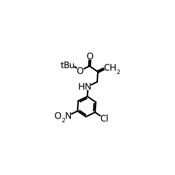 C=C(CNc1cc(Cl)cc([N+](=O)[O-])c1)C(=O)OC(C)(C)C